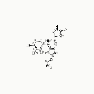 O=C1NC[C@@H](C(=O)NC(c2cnc(OCC(F)(F)F)s2)c2ccc(F)c(Cl)c2F)N1